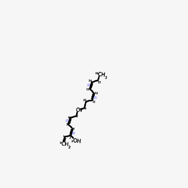 C=C/C(O)=C\C=C/COCC/C=C\C=C/CC